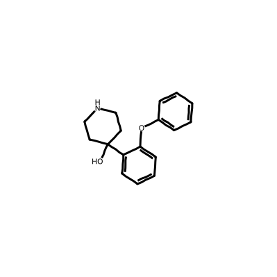 OC1(c2ccccc2Oc2ccccc2)CCNCC1